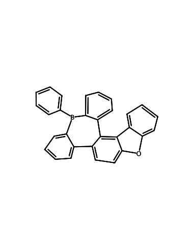 c1ccc(B2c3ccccc3-c3ccc4oc5ccccc5c4c3-c3ccccc32)cc1